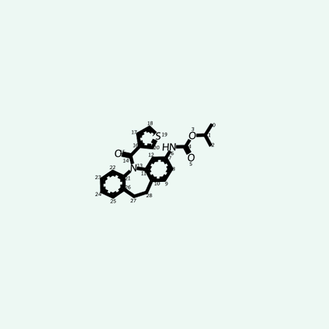 CC(C)OC(=O)Nc1ccc2c(c1)N(C(=O)c1ccsc1)c1ccccc1CC2